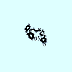 Cc1ccc2c(c1)N(CCCN1CCN(Cc3ccc(Cl)cc3)CC1)c1ccccc1S2